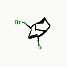 BrC1=CC(Br)C2CCC1C2